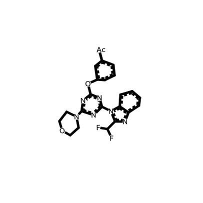 CC(=O)c1cccc(Oc2nc(N3CCOCC3)nc(-n3c(C(F)F)nc4ccccc43)n2)c1